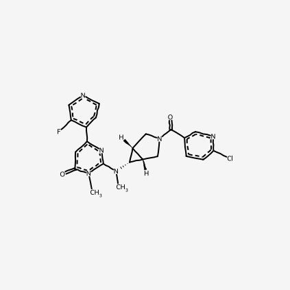 CN(c1nc(-c2ccncc2F)cc(=O)n1C)[C@@H]1[C@@H]2CN(C(=O)c3ccc(Cl)nc3)C[C@@H]21